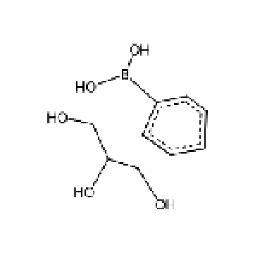 OB(O)c1ccccc1.OCC(O)CO